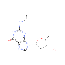 CC[C@@H]1O[C@@H](n2cnc3c(=O)[nH]c(NCC(C)C)nc32)C[C@H]1O